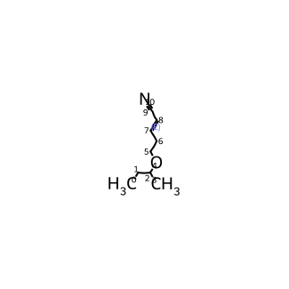 CCC(C)OCC/C=C/C#N